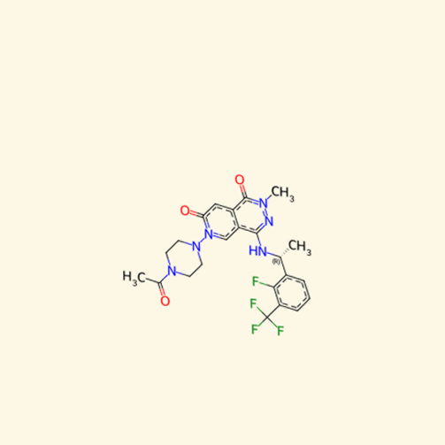 CC(=O)N1CCN(n2cc3c(N[C@H](C)c4cccc(C(F)(F)F)c4F)nn(C)c(=O)c3cc2=O)CC1